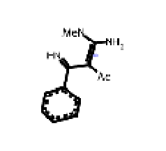 CN/C(N)=C(\C(=N)c1ccccc1)C(C)=O